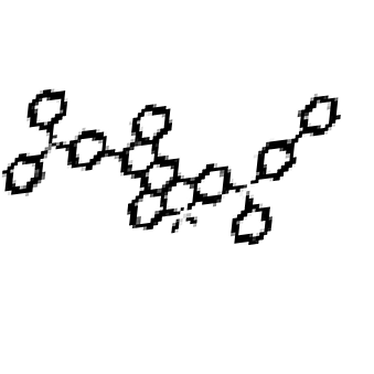 C[Si]1(C)c2cc(N(c3ccccc3)c3ccc(-c4ccccc4)cc3)ccc2-c2cc3c4ccccc4c(-c4ccc(N(c5ccccc5)c5ccccc5)cc4)cc3c3cccc1c23